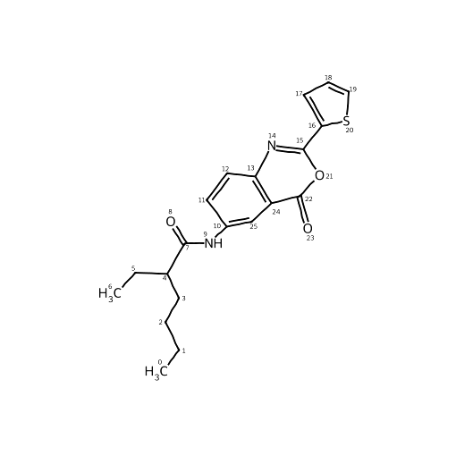 CCCCC(CC)C(=O)Nc1ccc2nc(-c3cccs3)oc(=O)c2c1